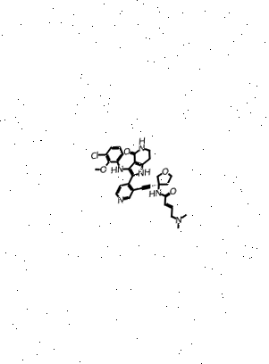 COc1c(Cl)cccc1Nc1c(-c2ccncc2C#C[C@@]2(NC(=O)/C=C/CN(C)C)CCOC2)[nH]c2c1C(=O)NCC2